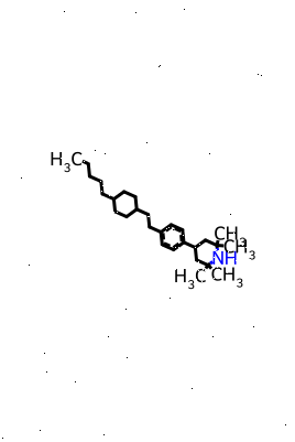 CCCCCC1CCC(CCc2ccc(C3CC(C)(C)NC(C)(C)C3)cc2)CC1